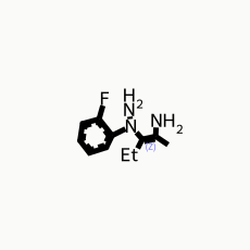 CC/C(=C(\C)N)N(N)c1ccccc1F